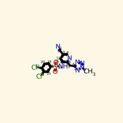 Cn1nnc(Cc2ncc(C#N)cc2NS(=O)(=O)c2ccc(Cl)c(Cl)c2)n1